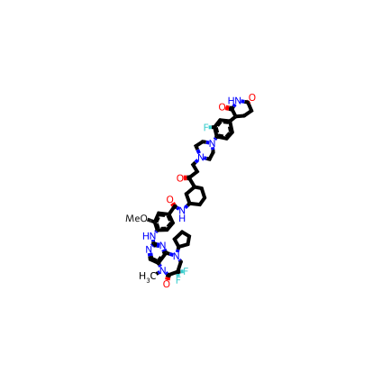 COc1cc(C(=O)NC2CCCC(C(=O)CCN3CCN(c4ccc(C5CCC(=O)NC5=O)cc4F)CC3)C2)ccc1Nc1ncc2c(n1)N(C1CCCC1)CC(F)(F)C(=O)N2C